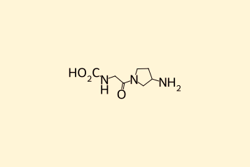 NC1CCN(C(=O)CNC(=O)O)C1